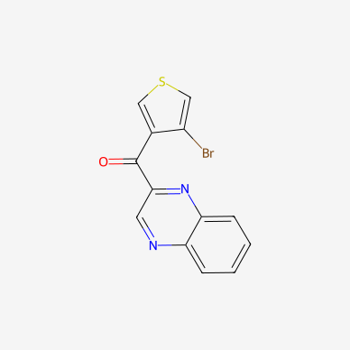 O=C(c1cnc2ccccc2n1)c1cscc1Br